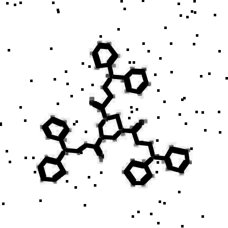 O=C(CCP(c1ccccc1)c1ccccc1)N1CN(C(=O)CCP(c2ccccc2)c2ccccc2)CN(C(=O)CCP(c2ccccc2)c2ccccc2)C1